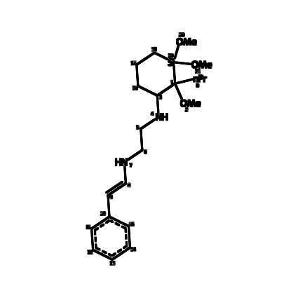 CCCC1(OC)C(NCCNC=Cc2ccccc2)CCC[Si]1(OC)OC